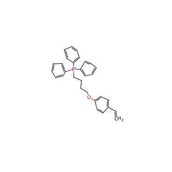 C=Cc1ccc(OCCCC[P+](c2ccccc2)(c2ccccc2)c2ccccc2)cc1